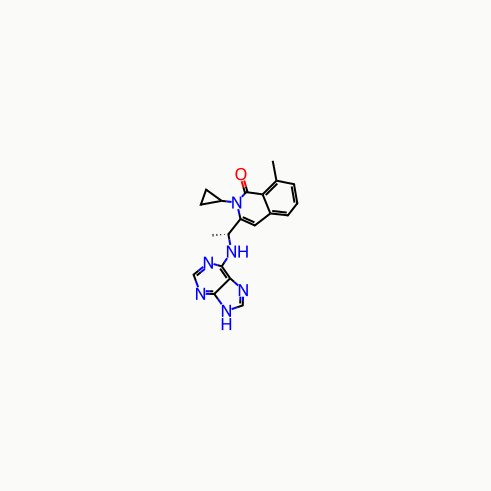 Cc1cccc2cc([C@@H](C)Nc3ncnc4[nH]cnc34)n(C3CC3)c(=O)c12